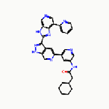 O=C(CC1CCCCC1)Nc1cncc(-c2cc3c(-c4nc5c(-c6ccccn6)cncc5[nH]4)n[nH]c3cn2)c1